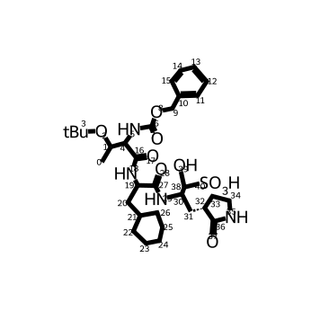 CC(OC(C)(C)C)C(NC(=O)OCc1ccccc1)C(=O)NC(CC1CCCCC1)C(=O)NC(C[C@@H]1CCNC1=O)C(O)S(=O)(=O)O